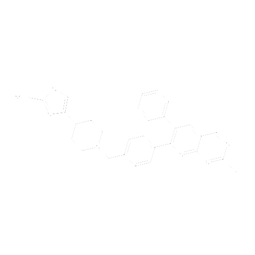 COc1nc(C2CCN(Cc3ccc(-c4nc5nc(S)ncc5cc4-c4ccccc4)cc3)CC2)c[nH]1